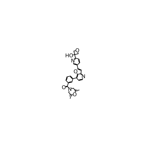 C[C@@H]1CN(C(=O)c2cccc(-c3ccnc4cc(-c5ccc(C6(O)COC6)nc5)oc34)c2)C[C@H](C)O1